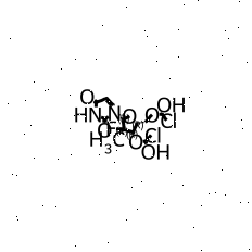 C[C@@]1(F)[C@H](OC(O)Cl)[C@@H](COC(O)Cl)O[C@H]1n1ccc(=O)[nH]c1=O